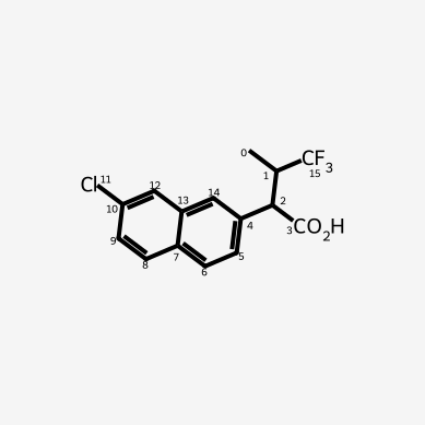 CC(C(C(=O)O)c1ccc2ccc(Cl)cc2c1)C(F)(F)F